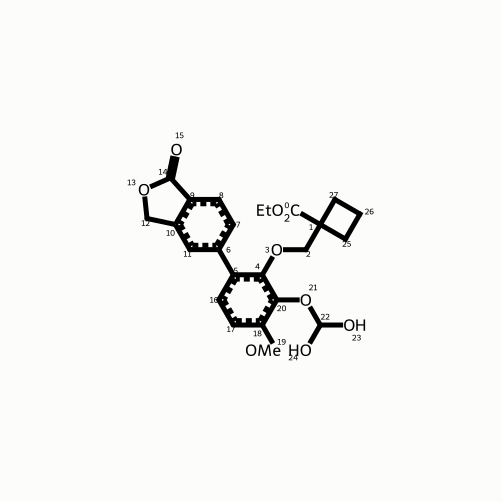 CCOC(=O)C1(COc2c(-c3ccc4c(c3)COC4=O)ccc(OC)c2OC(O)O)CCC1